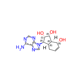 Nc1ncnc2c1ncn2[C@H]1[C@H](O)[C@H](O)[C@@H]2[C@H]1CC=C[C@H]2O